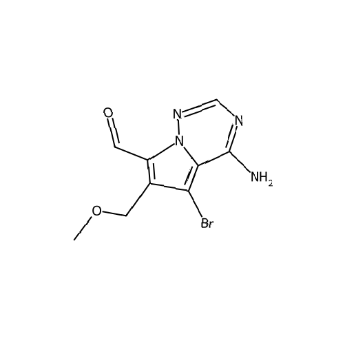 COCc1c(Br)c2c(N)ncnn2c1C=O